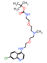 CN(CCOCCNC(=O)OC(C)(C)C)CCOCCNc1ccnc2cc(Cl)ccc12